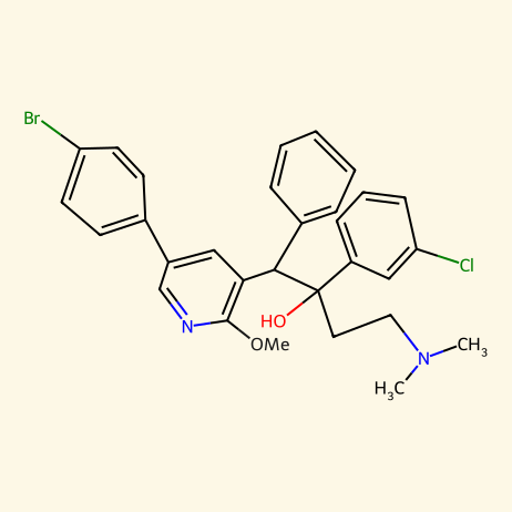 COc1ncc(-c2ccc(Br)cc2)cc1C(c1ccccc1)C(O)(CCN(C)C)c1cccc(Cl)c1